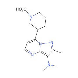 Cc1nn2c(C3CCCN(C(=O)O)C3)ccnc2c1N(C)C